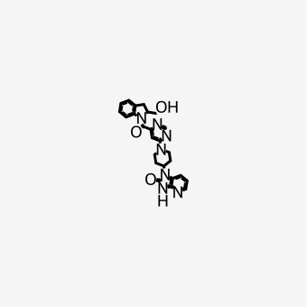 O=C(c1cc(N2CCC(n3c(=O)[nH]c4ncccc43)CC2)ncn1)N1c2ccccc2CC1CO